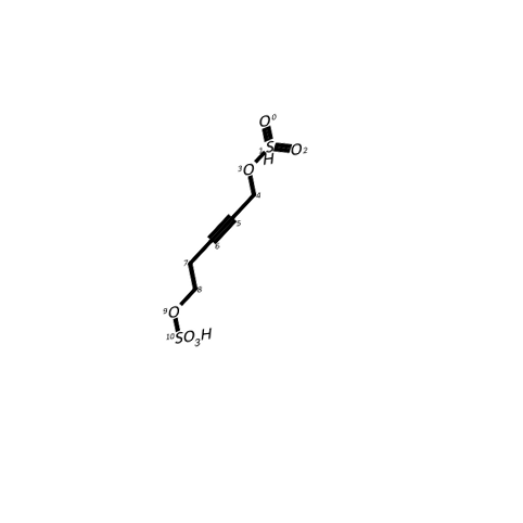 O=[SH](=O)OCC#CCCOS(=O)(=O)O